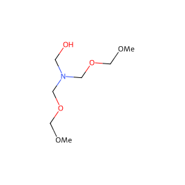 COCOCN(CO)COCOC